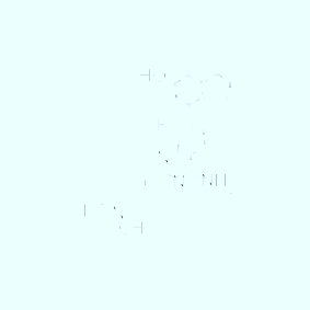 CN(C)CC1(COc2nc(N)c3ccc(-c4cc(O)cc5ccccc45)c(F)c3n2)CC1